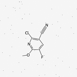 COc1nc(Cl)c(C#N)cc1F